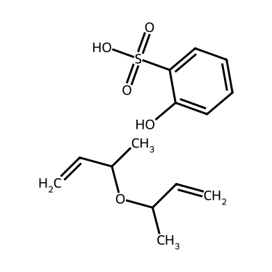 C=CC(C)OC(C)C=C.O=S(=O)(O)c1ccccc1O